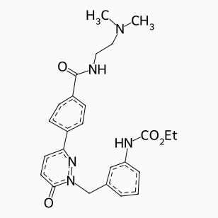 CCOC(=O)Nc1cccc(Cn2nc(-c3ccc(C(=O)NCCN(C)C)cc3)ccc2=O)c1